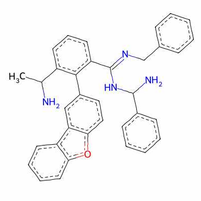 CC(N)c1cccc(/C(=N/Cc2ccccc2)NC(N)c2ccccc2)c1-c1ccc2oc3ccccc3c2c1